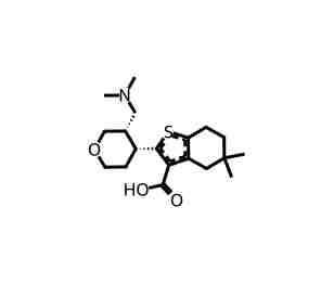 CN(C)C[C@H]1COCC[C@H]1c1sc2c(c1C(=O)O)CC(C)(C)CC2